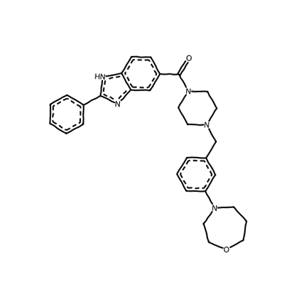 O=C(c1ccc2[nH]c(-c3ccccc3)nc2c1)N1CCN(Cc2cccc(N3CCCOCC3)c2)CC1